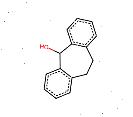 OC1c2ccccc2CCc2ccccc21